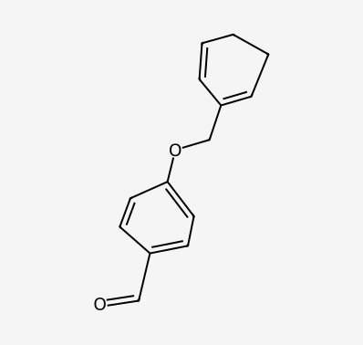 O=Cc1ccc(OCC2=CCCC=C2)cc1